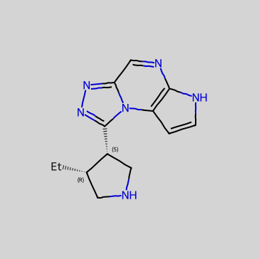 CC[C@H]1CNC[C@H]1c1nnc2cnc3[nH]ccc3n12